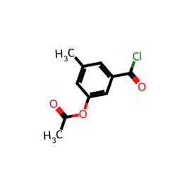 CC(=O)Oc1cc(C)cc(C(=O)Cl)c1